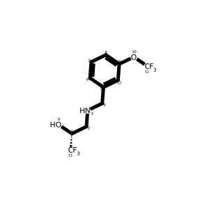 O[C@H](CNCc1cccc(OC(F)(F)F)c1)C(F)(F)F